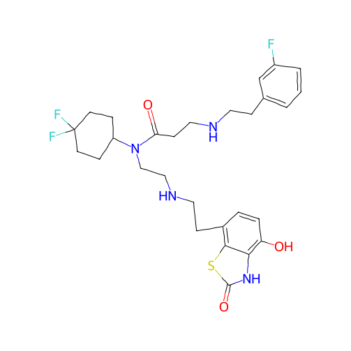 O=C(CCNCCc1cccc(F)c1)N(CCNCCc1ccc(O)c2[nH]c(=O)sc12)C1CCC(F)(F)CC1